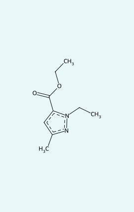 CCOC(=O)c1cc(C)nn1CC